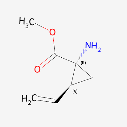 C=C[C@@H]1C[C@]1(N)C(=O)OC